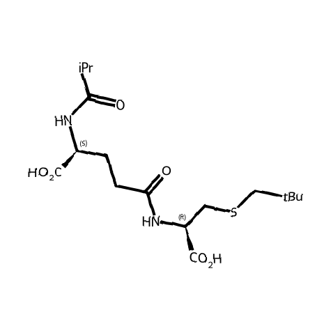 CC(C)C(=O)N[C@@H](CCC(=O)N[C@@H](CSCC(C)(C)C)C(=O)O)C(=O)O